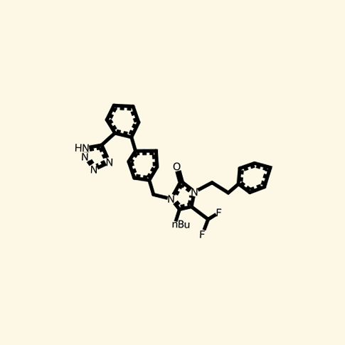 CCCCc1c(C(F)F)n(CCc2ccccc2)c(=O)n1Cc1ccc(-c2ccccc2-c2nnn[nH]2)cc1